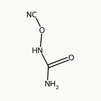 N#CONC(N)=O